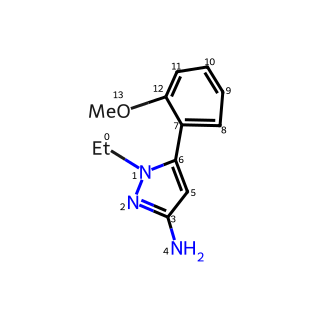 CCn1nc(N)cc1-c1ccccc1OC